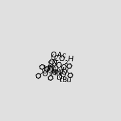 CC(=O)OCC1=C(C(=O)O)N2C(=O)[C@@](NC(=O)C(C(=O)OC(c3ccccc3)c3ccccc3)c3ccccc3)(OCC(NC(=O)OC(C)(C)C)C(=O)OC(c3ccccc3)c3ccccc3)[C@H]2SC1